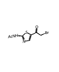 CC(=O)Nc1ncc(C(=O)CBr)s1